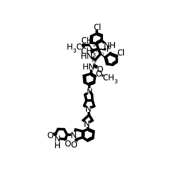 COc1cc(N2CC3CN(C4CN(c5cccc6c5CN(C5CCC(=O)NC5=O)C6=O)C4)CC3C2)ccc1NC(=O)[C@@H]1N[C@@H](CC(C)(C)C)[C@@]2(CNc3cc(Cl)ccc32)[C@H]1c1cccc(Cl)c1F